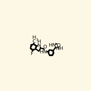 Cc1ccc(F)c2c1NC(C(=O)Nc1cccc(C3NCON3)c1)C2